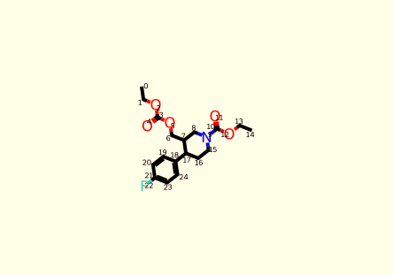 CCOC(=O)OCC1CN(C(=O)OCC)CCC1c1ccc(F)cc1